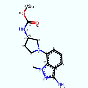 Cn1nc(N)c2cccc(N3CC[C@@H](NC(=O)OC(C)(C)C)C3)c21